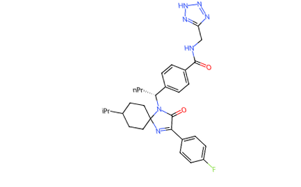 CCC[C@H](c1ccc(C(=O)NCc2nn[nH]n2)cc1)N1C(=O)C(c2ccc(F)cc2)=NC12CCC(C(C)C)CC2